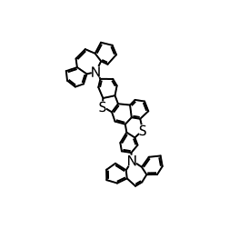 C1=CC2c3c(cc4c5c(cccc35)Sc3cc(N5c6ccccc6C=Cc6ccccc65)ccc3-4)SC2C=C1N1c2ccccc2C=Cc2ccccc21